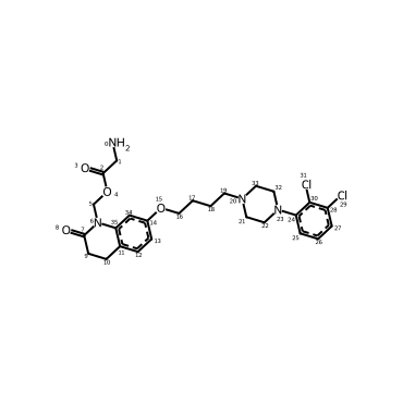 NCC(=O)OCN1C(=O)CCc2ccc(OCCCCN3CCN(c4cccc(Cl)c4Cl)CC3)cc21